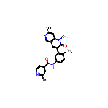 Cc1cc2c(cn1)cc(-c1cc(NC(=O)c3ccnc(C(C)(C)C)c3)ccc1C)c(=O)n2C